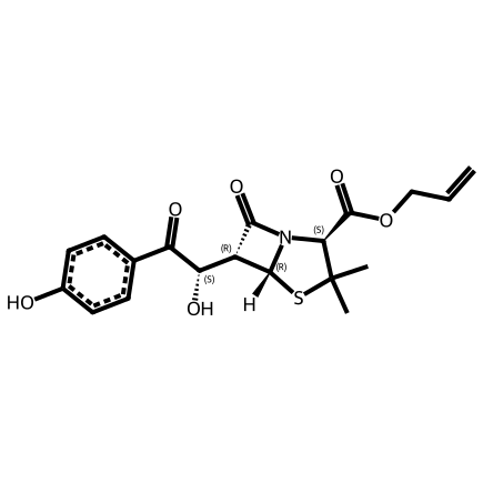 C=CCOC(=O)[C@@H]1N2C(=O)[C@@H]([C@H](O)C(=O)c3ccc(O)cc3)[C@H]2SC1(C)C